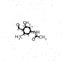 CC(=O)Nc1cc(C)c(C=O)c(C)c1